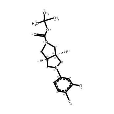 CC(C)(C)OC(=O)N1C[C@@H]2CN(c3ccc(Cl)c(Cl)c3)C[C@@H]2C1